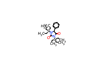 CC[Si](CC)(CC)N1C(=O)C(c2ccccc2)N([Si](CC)(CC)CC)C1=O